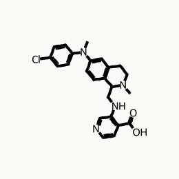 CN(c1ccc(Cl)cc1)c1ccc2c(c1)CCN(C)C2CNc1cnccc1C(=O)O